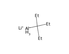 CC[C]([AlH3-])(CC)CC.[Li+]